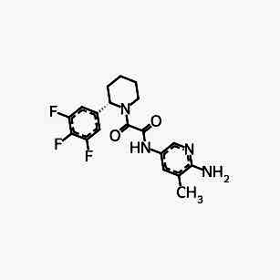 Cc1cc(NC(=O)C(=O)N2CCCC[C@H]2c2cc(F)c(F)c(F)c2)cnc1N